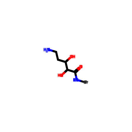 CC(C)NC(=O)C(O)C(O)CCN